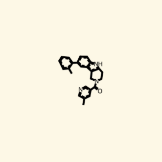 Cc1cncc(C(=O)N2CCc3[nH]c4ccc(-c5ccccc5C)cc4c3C2)c1